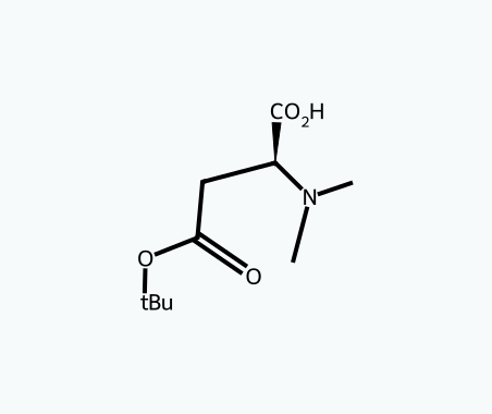 CN(C)[C@@H](CC(=O)OC(C)(C)C)C(=O)O